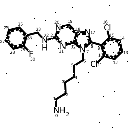 NCCCCCCn1c(-c2c(Cl)cccc2Cl)nc2cnc(NCc3ccccc3F)nc21